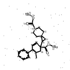 CC1=C(c2ccccc2)C=CC(C(=O)OC(C)(C)C)(C2CC23CCN(C(=O)OC(C)(C)C)CC3)C1